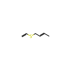 C=CSCC=CC